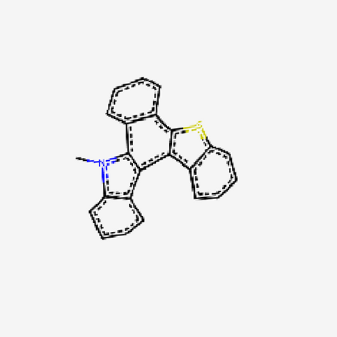 Cn1c2ccccc2c2c3c4ccccc4sc3c3ccccc3c21